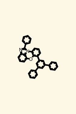 c1ccc(-c2cc(-c3ccccc3)cc(-c3cccc4c3Oc3cccc5nc(-c6ccccc6)n-4c35)c2)cc1